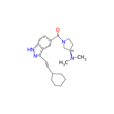 CN(C)[C@@H]1CCN(C(=O)c2ccc3[nH]nc(C#CC4CCCCC4)c3c2)C1